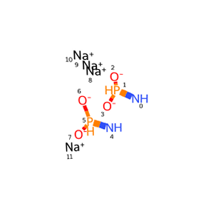 N=[PH]([O-])[O-].N=[PH]([O-])[O-].[Na+].[Na+].[Na+].[Na+]